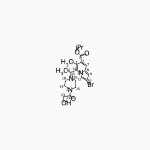 Cc1c(C(=O)OC(C)C)cc2cc(Br)cn2c1C(C)N1CCN(C(=O)CO)CC1